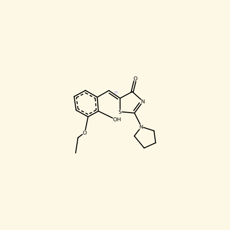 CCOc1cccc(/C=C2\SC(N3CCCC3)=NC2=O)c1O